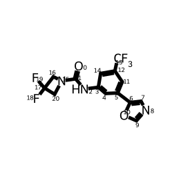 O=C(Nc1cc(-c2cnco2)cc(C(F)(F)F)c1)N1CC(F)(F)C1